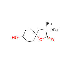 CC(C)(C)C1(C(C)(C)C)CC2(CCC(O)CC2)OC1=O